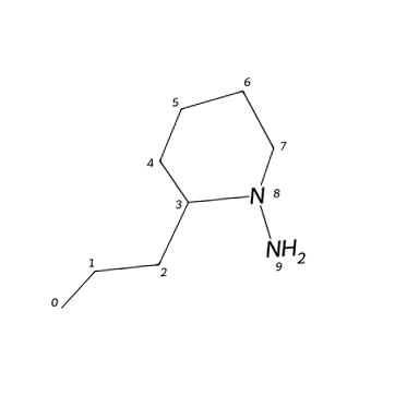 CCCC1CCCCN1N